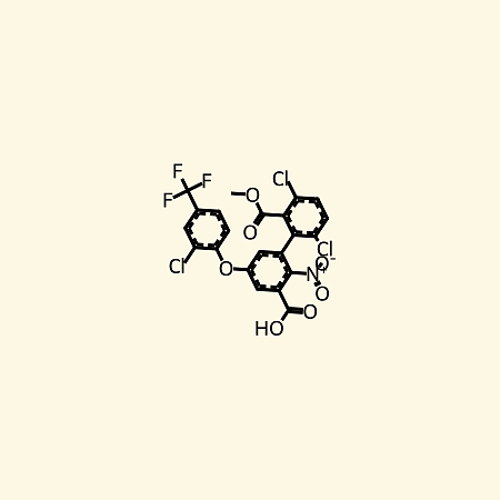 COC(=O)c1c(Cl)ccc(Cl)c1-c1cc(Oc2ccc(C(F)(F)F)cc2Cl)cc(C(=O)O)c1[N+](=O)[O-]